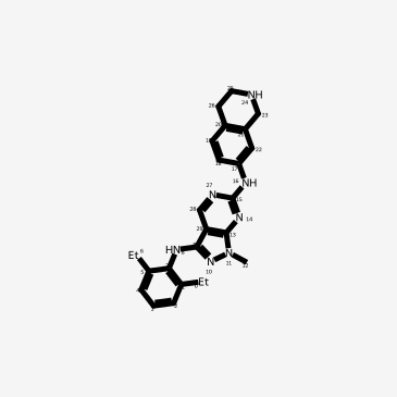 CCc1cccc(CC)c1Nc1nn(C)c2nc(Nc3ccc4c(c3)CNCC4)ncc12